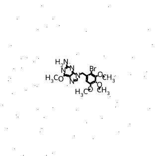 COc1cc(Cn2cnc3c(OC)nc(N)nc32)c(Br)c(OC)c1OC